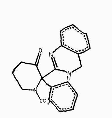 O=C(O)N1CCCC(=O)C1(C1=Nc2ccccc2CN1)c1ccccc1